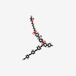 C#Cc1ccc(C#Cc2ccc(C#Cc3ccc(C#CC4(OC(=O)c5ccc(OC(=O)C6CCC(C(=O)OCCCCCCCCOC(=O)C=C)CC6)cc5)CCC(C5CCC(C)CC5)CC4)cc3)cc2)cc1